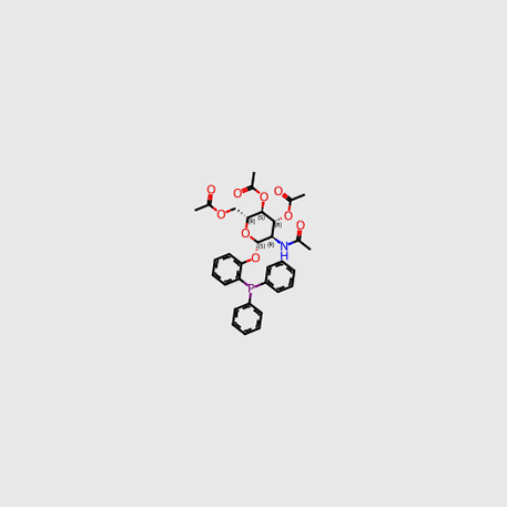 CC(=O)N[C@H]1[C@H](Oc2ccccc2P(c2ccccc2)c2ccccc2)O[C@H](COC(C)=O)[C@@H](OC(C)=O)[C@@H]1OC(C)=O